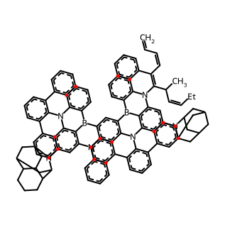 C=C/C=C\C(=C(/C(C)/C=C\CC)N1c2ccccc2B2c3cc4c(cc3N(c3c(-c5ccccc5)cccc3-c3ccccc3)c3cc(N5C6CC7CC(C6)CC5C7)cc1c32)N(c1ccccc1)c1cc(N2C3CC5CC2C2CCCC5C2C3)cc2c1B4c1ccccc1N2c1c(-c2ccccc2)cccc1-c1ccccc1)c1ccccc1